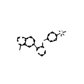 Nc1ncnc2ccc(-c3nccnc3Nc3ccc(S(F)(F)(F)(F)F)cc3)cc12